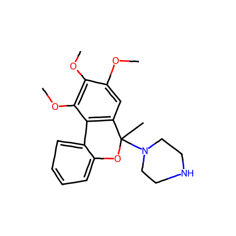 COc1cc2c(c(OC)c1OC)-c1ccccc1OC2(C)N1CCNCC1